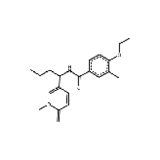 C=C(/C=C\C(=C)C(CCC)NC(=O)c1ccc(OCC)c(C)c1)OC